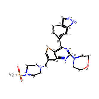 CS(=O)(=O)N1CCN(Cc2csc3c(-c4ccc5cn[nH]c5c4)nc(N4CCOCC4)nc23)CC1